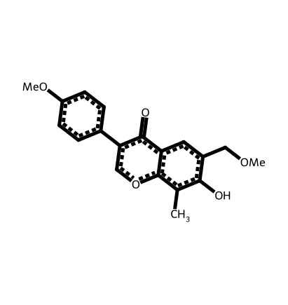 COCc1cc2c(=O)c(-c3ccc(OC)cc3)coc2c(C)c1O